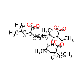 CCC(CC(C)C)C(=O)[O-].CCC(CC(C)C)C(=O)[O-].CCC(CC(C)C)C(=O)[O-].[Cr+3]